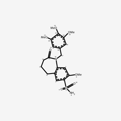 COc1cc2c(cc1S(N)(=O)=O)CCCC(=O)N2Cc1cc(OC)c(OC)c(OC)c1